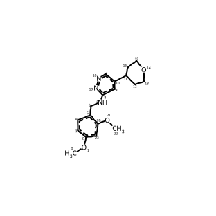 COc1ccc(CNc2cc(C3CCOCC3)cnn2)c(OC)c1